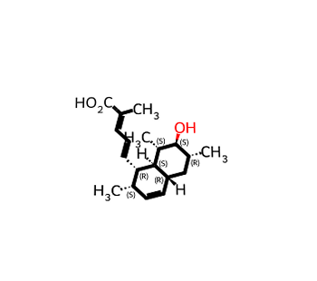 CC(=CC=C[C@@H]1[C@H]2[C@H](C)[C@@H](O)[C@H](C)C[C@@H]2C=C[C@@H]1C)C(=O)O